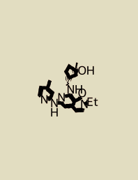 CCn1ccc2cc(Nc3cc(C)ccn3)nc(NC[C@@H]3CC[C@](C)(O)C3)c2c1=O